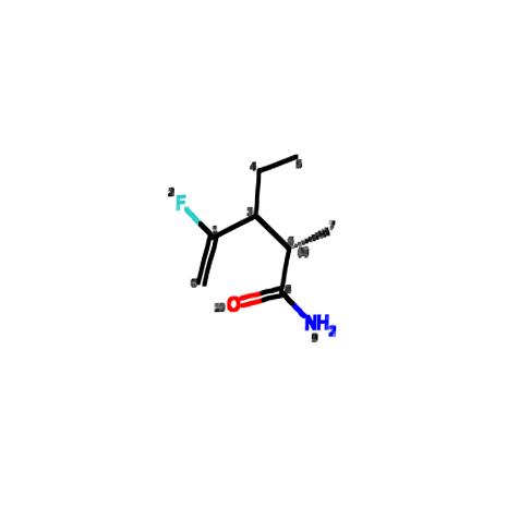 C=C(F)C(CC)[C@H](C)C(N)=O